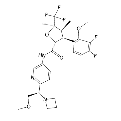 COC[C@@H](c1ccc(NC(=O)[C@@H]2O[C@@](C)(C(F)(F)F)[C@@H](C)[C@H]2c2ccc(F)c(F)c2OC)cn1)N1CCC1